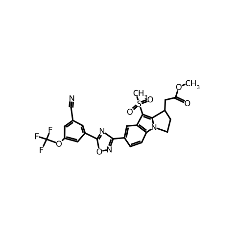 COC(=O)CC1CCn2c1c(S(C)(=O)=O)c1cc(-c3noc(-c4cc(C#N)cc(OC(F)(F)F)c4)n3)ccc12